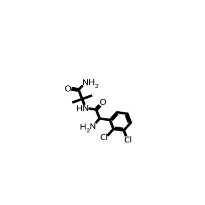 CC(C)(NC(=O)C(N)c1cccc(Cl)c1Cl)C(N)=O